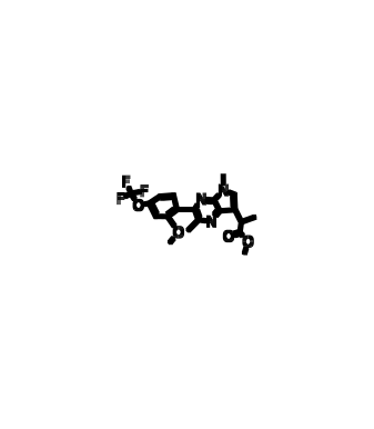 COC(=O)C(C)c1cn(C)c2nc(-c3ccc(OC(F)(F)F)cc3OC)c(C)nc12